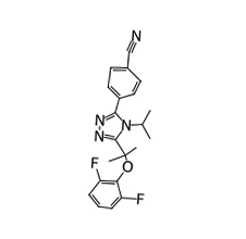 CC(C)n1c(-c2ccc(C#N)cc2)nnc1C(C)(C)Oc1c(F)cccc1F